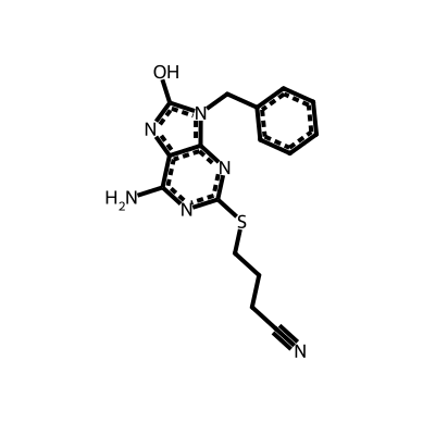 N#CCCCSc1nc(N)c2nc(O)n(Cc3ccccc3)c2n1